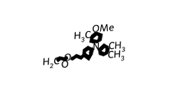 C=CC(=O)OCCCc1ccc(N(c2ccc(C)c(C)c2)c2ccc(OC)c(C)c2)cc1